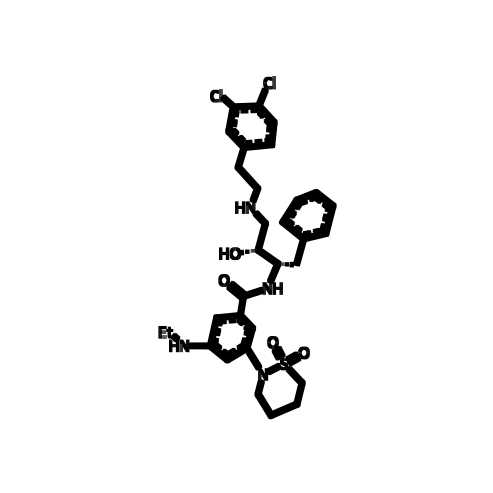 CCNc1cc(C(=O)N[C@@H](Cc2ccccc2)[C@H](O)CNCCc2ccc(Cl)c(Cl)c2)cc(N2CCCCS2(=O)=O)c1